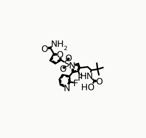 CC(C)(C)C(Cc1cn(S(=O)(=O)c2ccc(C(N)=O)o2)c(-c2cccnc2F)c1F)NC(=O)O